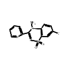 NN1C(c2ccccn2)=NS(=O)(=O)c2cc(Cl)ccc21